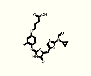 Cc1cc(OCCCC(=O)O)ccc1/N=C1/NC(=O)/C(=C/c2cnc(N(C=O)C3CC3)s2)S1